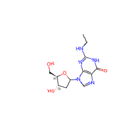 CCNc1nc2c(ncn2C2C[C@H](O)[C@@H](CO)O2)c(=O)[nH]1